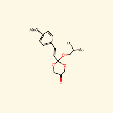 CCCCC(CC)COC1(C=Cc2ccc(OC)cc2)OCC(=O)CO1